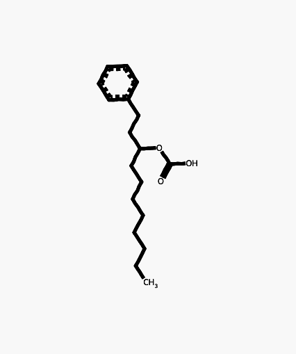 CCCCCCCCC(CCc1ccccc1)OC(=O)O